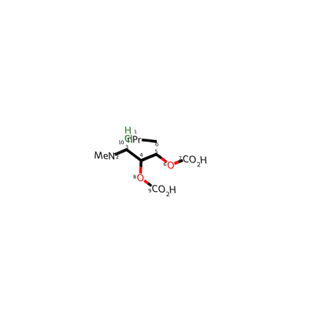 CCCC.CNCC(COC(=O)O)OC(=O)O.Cl